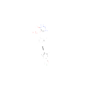 O=c1[nH]cnc(CCc2ccc(C#Cc3ccc(C(O)CCl)cc3)cc2)c1O